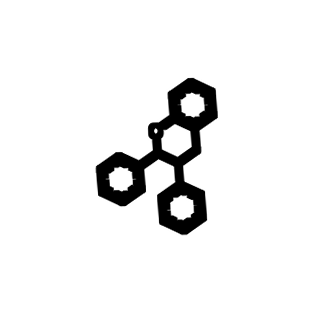 c1ccc(C2Cc3ccccc3OC2c2ccccc2)cc1